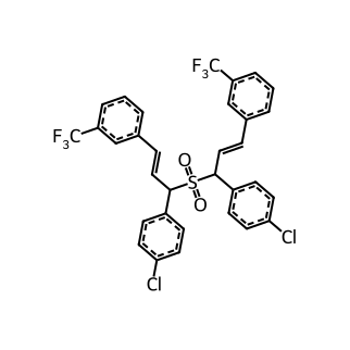 O=S(=O)(C(C=Cc1cccc(C(F)(F)F)c1)c1ccc(Cl)cc1)C(C=Cc1cccc(C(F)(F)F)c1)c1ccc(Cl)cc1